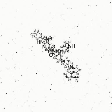 CC1(C)CCC(CNc2ncc(S(=O)(=O)NC(=O)c3ccc(N4CCC5(CC4)CN([C@H]4CCC[C@@H]4c4ccccc4C4CC4)C5)cc3Oc3cnc4[nH]ccc4c3)cc2[N+](=O)[O-])CC1